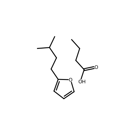 CC(C)CCc1ccco1.CCCC(=O)O